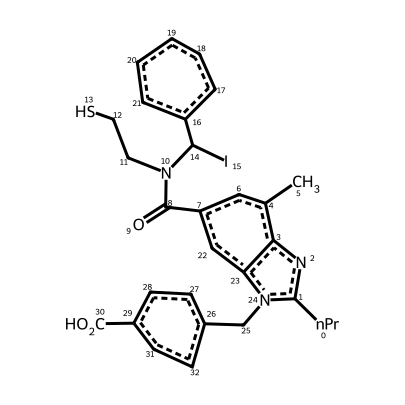 CCCc1nc2c(C)cc(C(=O)N(CCS)C(I)c3ccccc3)cc2n1Cc1ccc(C(=O)O)cc1